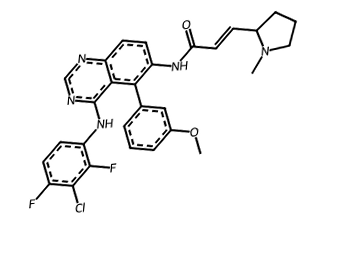 COc1cccc(-c2c(NC(=O)C=CC3CCCN3C)ccc3ncnc(Nc4ccc(F)c(Cl)c4F)c23)c1